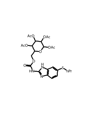 CCCSc1ccc2nc(NC(=O)OCC3OC(OC(C)=O)C(OC(C)=O)C(OC(C)=O)C3OC(C)=O)[nH]c2c1